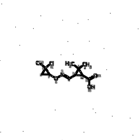 CC1(C)C(C=NOC2CC2(Cl)Cl)C1C(=O)O